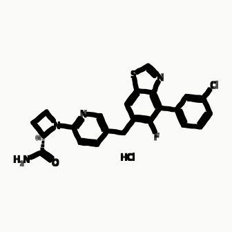 Cl.NC(=O)[C@@H]1CCN1c1ccc(Cc2cc3scnc3c(-c3cccc(Cl)c3)c2F)cn1